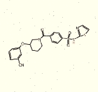 N#Cc1cccc(OC2CCCN(C(=O)c3ccc(S(=O)(=O)Nc4nccs4)cc3)C2)c1